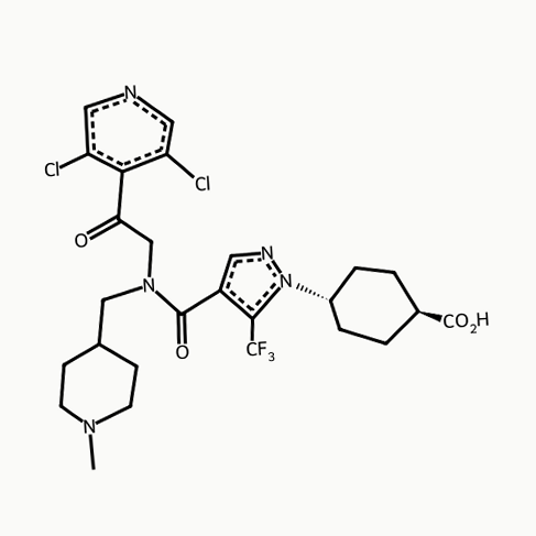 CN1CCC(CN(CC(=O)c2c(Cl)cncc2Cl)C(=O)c2cnn([C@H]3CC[C@H](C(=O)O)CC3)c2C(F)(F)F)CC1